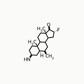 C=C1CC2C3C[C@@H](F)C(=O)[C@@]3(C)CCC2[C@@]2(C)CCC(=N)C[C@H]12